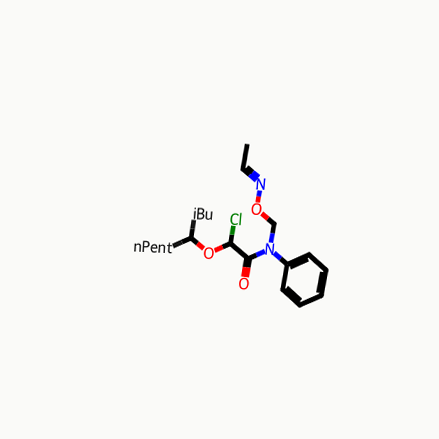 CC=NOCN(C(=O)C(Cl)OC(CCCCC)C(C)CC)c1ccccc1